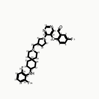 O=Cc1cc(F)ccc1Oc1cncnc1N1CCC(CN2CCC3(CCC(Nc4c(F)cccc4F)CC3)CC2)C1